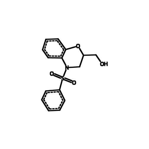 O=S(=O)(c1ccccc1)N1CC(CO)Oc2ccccc21